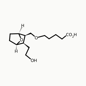 O=C(O)CCCCOC[C@H]1[C@@H](CCO)[C@H]2CC[C@@H]1O2